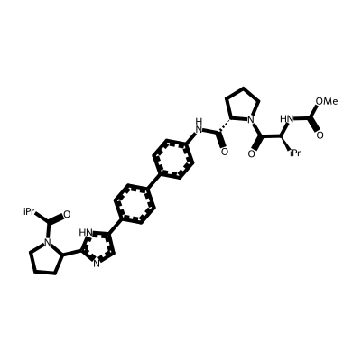 COC(=O)N[C@H](C(=O)N1CCC[C@H]1C(=O)Nc1ccc(-c2ccc(-c3cnc(C4CCCN4C(=O)C(C)C)[nH]3)cc2)cc1)C(C)C